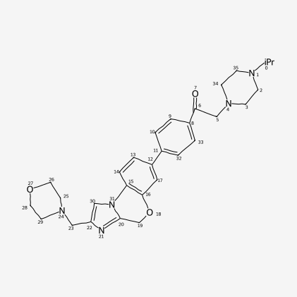 CC(C)N1CCN(CC(=O)c2ccc(-c3ccc4c(c3)OCc3nc(CN5CCOCC5)cn3-4)cc2)CC1